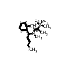 CC/C=C/C(c1ccccc1C)N(C)/C=C(\C)S(C)(C)C